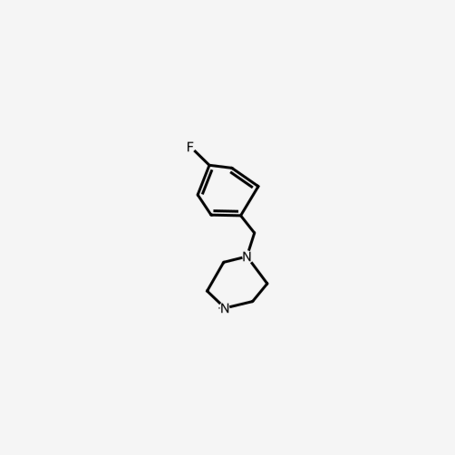 Fc1ccc(CN2CC[N]CC2)cc1